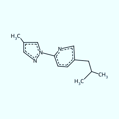 Cc1cnn(-c2ccc(CC(C)C)cn2)c1